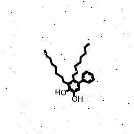 CCCCCCCCc1c(-c2ccccc2)cc(O)c(O)c1CCCCCCCC